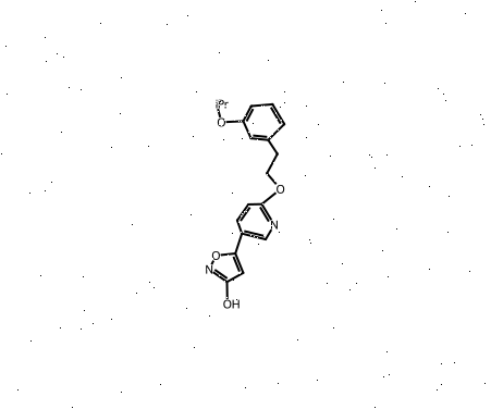 CC(C)Oc1cccc(CCOc2ccc(-c3cc(O)no3)cn2)c1